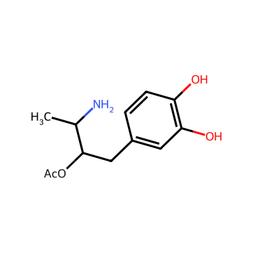 CC(=O)OC(Cc1ccc(O)c(O)c1)C(C)N